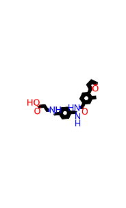 Cc1cc(C(=O)NC(=N)c2ccc(CNCCC(=O)O)cc2)ccc1-c1ccco1